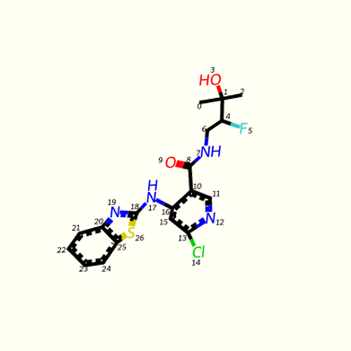 CC(C)(O)C(F)CNC(=O)c1cnc(Cl)cc1Nc1nc2ccccc2s1